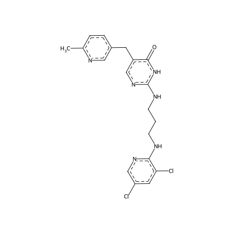 Cc1ccc(Cc2cnc(NCCCNc3ncc(Cl)cc3Cl)[nH]c2=O)cn1